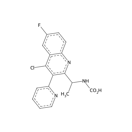 CC(NC(=O)O)c1nc2ccc(F)cc2c(Cl)c1-c1ccccn1